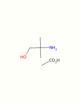 CC(=O)O.CC(C)(N)CO